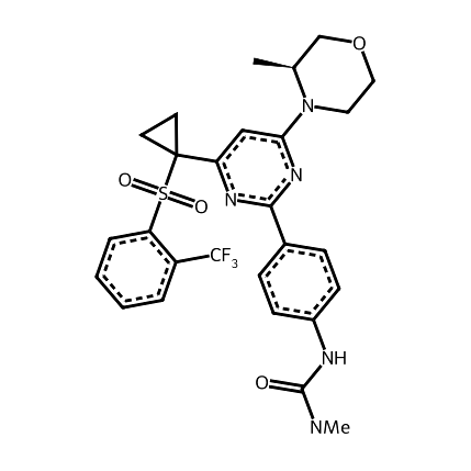 CNC(=O)Nc1ccc(-c2nc(N3CCOC[C@@H]3C)cc(C3(S(=O)(=O)c4ccccc4C(F)(F)F)CC3)n2)cc1